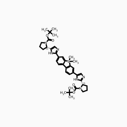 CC(C)(C)OC(=O)N1CCC[C@H]1c1cnc(-c2ccc3c(c2)[Si](C)(C)c2cc(-c4cnc([C@@H]5CCCN5C(=O)OC(C)(C)C)[nH]4)ccc2-3)[nH]1